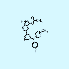 CC(=O)Oc1c[nH]c2ccc(-c3cncc(C(c4ccc(F)cc4)N4CCN(C)CC4)c3)cc12